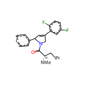 CN[C@@H](CC(C)C)C(=O)N1CC(c2cc(F)ccc2F)=CC1c1ccccc1